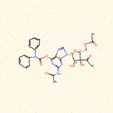 CC(C)C(=O)Nc1nc(OC(=O)N(c2ccccc2)c2ccccc2)c2ncn([C@@H]3O[C@H](COC(=O)C(C)C)[C@](O)(C(=O)C(C)C)[C@H]3O)c2n1